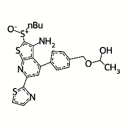 CCCC[S+]([O-])c1sc2nc(-c3nccs3)cc(-c3ccc(COC(C)O)cc3)c2c1N